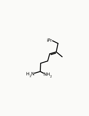 CC(=CCCC(N)N)CC(C)C